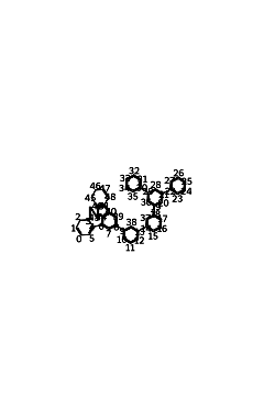 C1=CCC2C(=C1)c1cc(-c3cccc(-c4cccc(-c5cc(-c6ccccc6)cc(-c6ccccc6)c5)c4)c3)cc3c4c(n2c13)CCC=C4